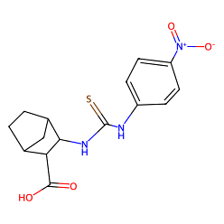 O=C(O)C1C2CCC(C2)C1NC(=S)Nc1ccc([N+](=O)[O-])cc1